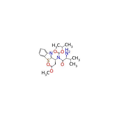 COC(=O)C[C@@H](c1nc2ccccc2s1)N(C(=O)OC(C)C)C(=O)[C@@H](N)C(C)C